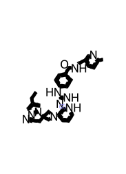 CCc1cnn(C2(CC#N)CN(c3ccc[nH]/c3=N\C(=N)Nc3ccc(C(=O)NCc4ccc(C)nc4)cc3)C2)c1